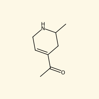 CC(=O)C1=CCNC(C)C1